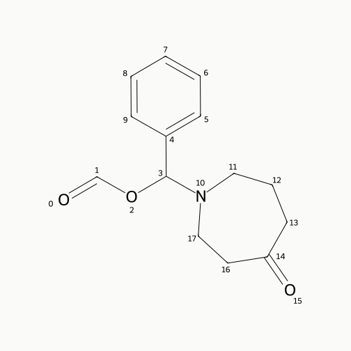 O=COC(c1ccccc1)N1CCCC(=O)CC1